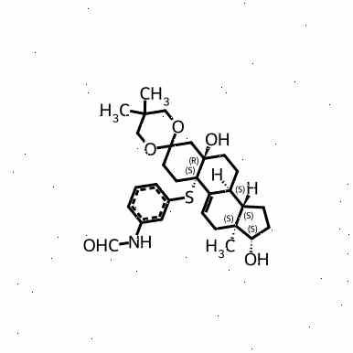 CC1(C)COC2(CC[C@]3(Sc4cccc(NC=O)c4)C4=CC[C@]5(C)[C@@H](O)CC[C@H]5[C@@H]4CC[C@@]3(O)C2)OC1